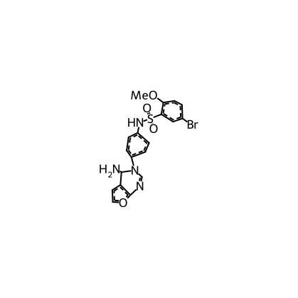 COc1ccc(Br)cc1S(=O)(=O)Nc1ccc(N2C=Nc3occc3C2N)cc1